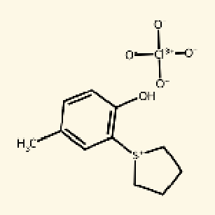 Cc1ccc(O)c([S+]2CCCC2)c1.[O-][Cl+3]([O-])([O-])[O-]